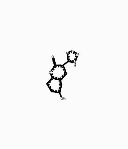 O=c1oc2ccc(O)cc2cc1-c1nnn[nH]1